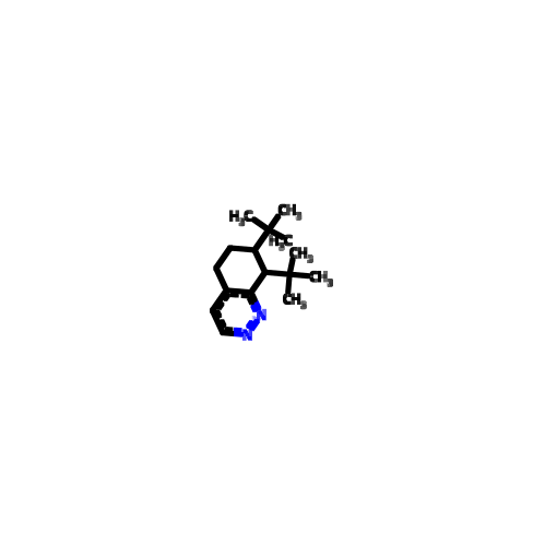 CC(C)(C)C1CCc2ccnnc2C1C(C)(C)C